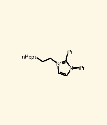 CCCCCCCCC[n+]1ccn(C(C)C)c1C(C)C